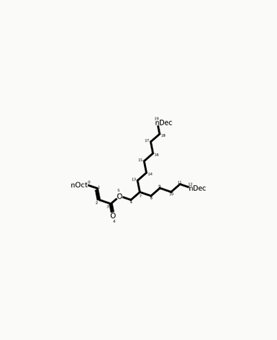 CCCCCCCCC=CC(=O)OCC(CCCCCCCCCCCCCC)CCCCCCCCCCCCCCCC